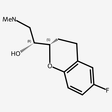 CNC[C@@H](O)[C@@H]1CCc2cc(F)ccc2O1